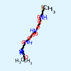 CC(C)C(=O)CCc1cn(CCCCC(=O)NCCOCCOCC(=O)NCCOCCOCC(=O)NCCCCS(C)=S)nn1